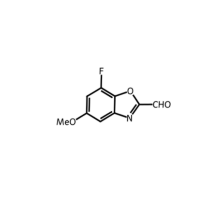 COc1cc(F)c2oc(C=O)nc2c1